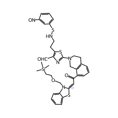 C[Si](C)(C)CCOCN1/C(=C\C(=O)c2cccc3c2CN(c2nc(C=O)c(CCNSc4cccc(N=O)c4)s2)CC3)Sc2ccccc21